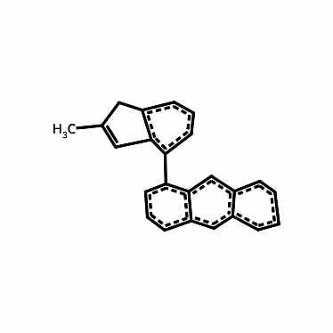 CC1=Cc2c(cccc2-c2cccc3cc4ccccc4cc23)C1